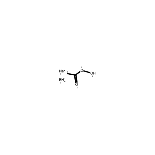 CC(=O)OO.[BH4-].[Na+]